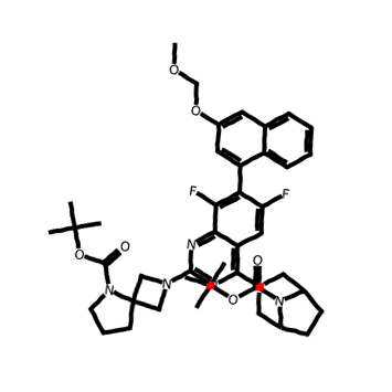 COCOc1cc(-c2c(F)cc3c(N4CC5CCC(C4)N5C(=O)OC(C)(C)C)nc(N4CC5(CCCN5C(=O)OC(C)(C)C)C4)nc3c2F)c2ccccc2c1